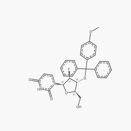 COc1ccc(C(O[C@H]2[C@H](F)[C@H](n3ccc(=O)[nH]c3=O)O[C@@H]2CO)(c2ccccc2)c2ccccc2)cc1